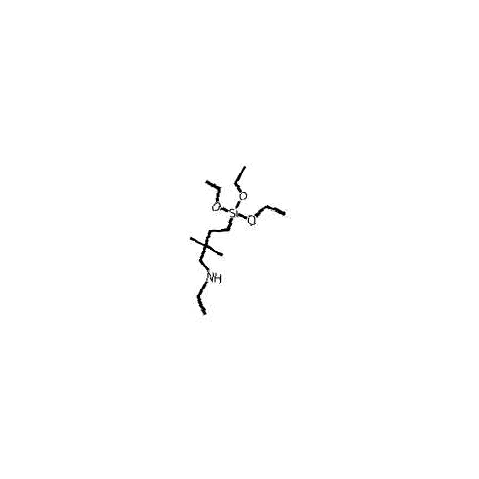 CCNCC(C)(C)CC[Si](OCC)(OCC)OCC